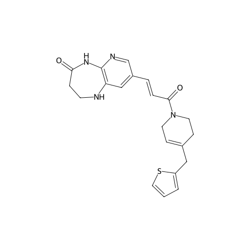 O=C1CCNc2cc(C=CC(=O)N3CC=C(Cc4cccs4)CC3)cnc2N1